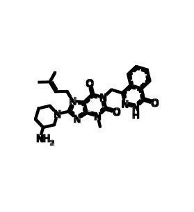 CC(C)=CCn1c(N2CCCC(N)C2)nc2c1c(=O)n(Cc1n[nH]c(=O)c3ccccc13)c(=O)n2C